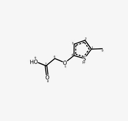 Cc1ccc(OCC(=O)O)s1